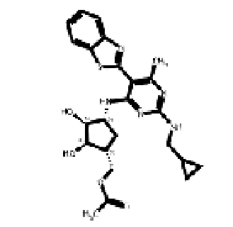 CC(=O)OC[C@H]1C[C@@H](Nc2nc(NCC3CC3)nc(C)c2-c2nc3ccccc3s2)[C@H](O)[C@@H]1O